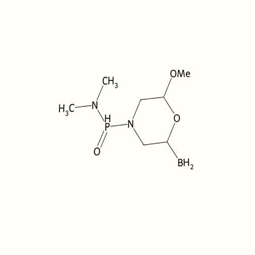 BC1CN([PH](=O)N(C)C)CC(OC)O1